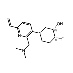 C=Cc1ccc(N2CC[C@@H](F)[C@@H](O)C2)c(CN(C)C)n1